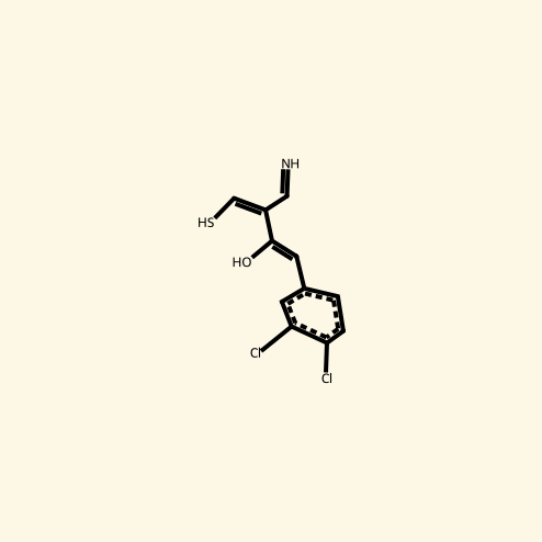 N=CC(=C/S)/C(O)=C/c1ccc(Cl)c(Cl)c1